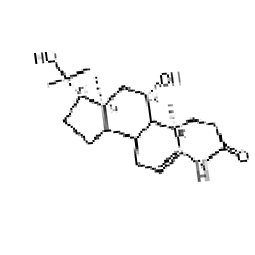 CC(C)(O)[C@H]1CCC2C3CC=C4NC(=O)CC[C@]4(C)C3[C@@H](O)C[C@@]21C